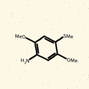 COc1cc(SC)c(OC)cc1N